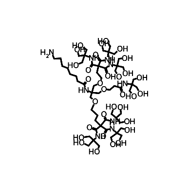 NCCCCCCCC(=O)NC(COCCCC(C(=O)NC(CO)(CO)CO)(C(=O)NC(CO)(CO)CO)C(=O)NC(CO)(CO)CO)(COCCC(=O)NC(CO)(CO)CO)COCCC(C(=O)NC(CO)(CO)CO)(C(=O)NC(CO)(CO)CO)C(=O)NC(CO)(CO)CO